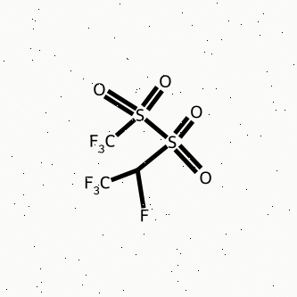 O=S(=O)(C(F)C(F)(F)F)S(=O)(=O)C(F)(F)F